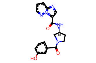 O=C(N[C@H]1CCN(C(=O)c2cccc(O)c2)C1)c1cnc2cccnn12